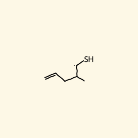 C=CCC(C)[CH]S